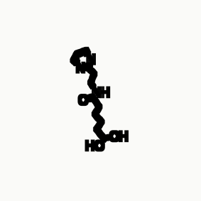 O=C(CCCCC(O)O)NCCc1ncccn1